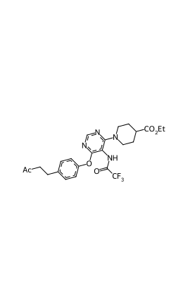 CCOC(=O)C1CCN(c2ncnc(Oc3ccc(CCC(C)=O)cc3)c2NC(=O)C(F)(F)F)CC1